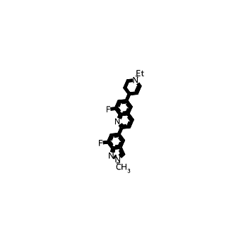 CCN1C=CC(c2cc(F)c3nc(-c4cc(F)c5nn(C)cc5c4)ccc3c2)CC1